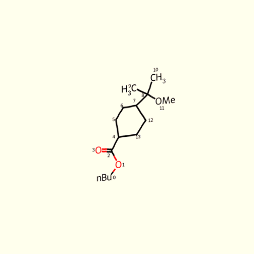 CCCCOC(=O)C1CCC(C(C)(C)OC)CC1